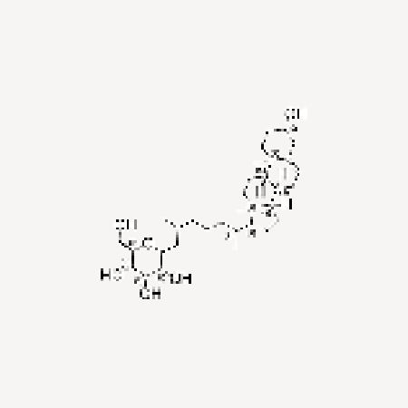 CC(CCC[C@@H](C)[C@H]1CC[C@H]2[C@@H]3CC=C4C[C@@H](O)CC[C@]4(C)[C@H]3CC[C@]12C)CC1O[C@H](CO)[C@@H](O)[C@H](O)[C@H]1O